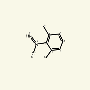 Cc1cccc(C)c1[N+](=N)[O-]